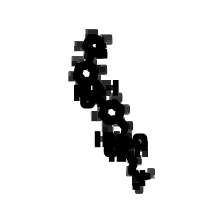 CN(C)CCNC(=O)[C@H](Cc1ccc(C(=O)Nc2cc(-c3cccs3)ccc2N)cc1)NC(=O)O